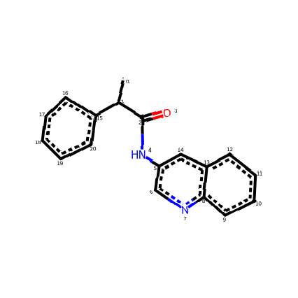 [CH2]C(C(=O)Nc1cnc2ccccc2c1)c1ccccc1